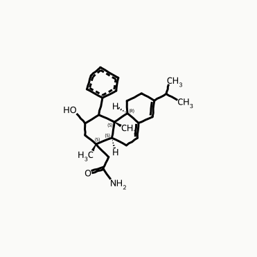 CC(C)C1=CC2=CC[C@H]3[C@](C)(CC(N)=O)CC(O)C(c4ccccc4)[C@]3(C)[C@H]2CC1